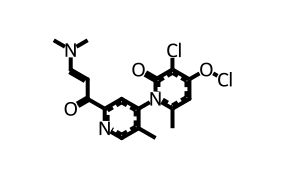 Cc1cnc(C(=O)/C=C/N(C)C)cc1-n1c(C)cc(OCl)c(Cl)c1=O